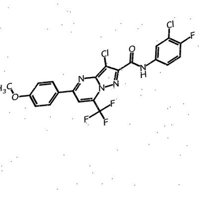 COc1ccc(-c2cc(C(F)(F)F)n3nc(C(=O)Nc4ccc(F)c(Cl)c4)c(Cl)c3n2)cc1